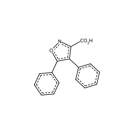 O=C(O)c1noc(-c2ccccc2)c1-c1ccccc1